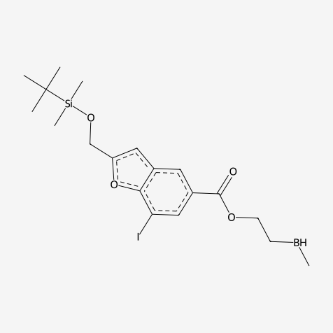 CBCCOC(=O)c1cc(I)c2oc(CO[Si](C)(C)C(C)(C)C)cc2c1